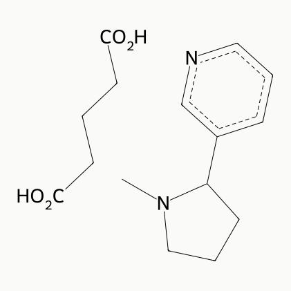 CN1CCCC1c1cccnc1.O=C(O)CCCC(=O)O